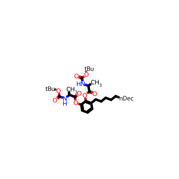 CCCCCCCCCCCCCCCc1cccc(OC(=O)C(C)NC(=O)OC(C)(C)C)c1OC(=O)C(C)NC(=O)OC(C)(C)C